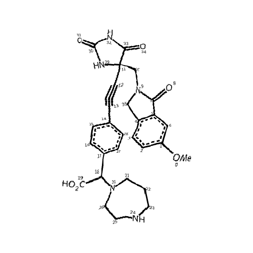 COc1ccc2c(c1)C(=O)N(C[C@@]1(C#Cc3ccc(C(C(=O)O)N4CCCNCC4)cc3)NC(=O)NC1=O)C2